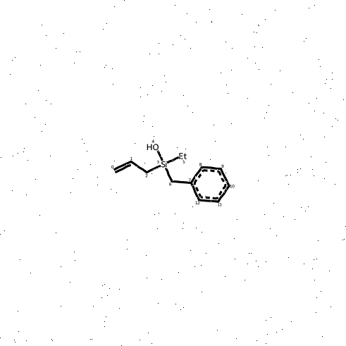 C=CC[Si](O)(CC)Cc1ccccc1